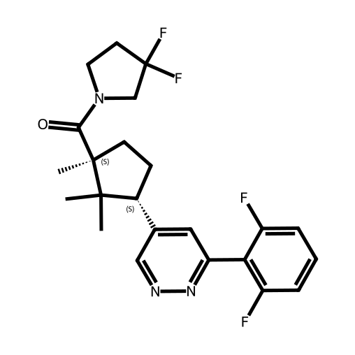 CC1(C)[C@@H](c2cnnc(-c3c(F)cccc3F)c2)CC[C@]1(C)C(=O)N1CCC(F)(F)C1